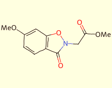 COC(=O)Cn1oc2cc(OC)ccc2c1=O